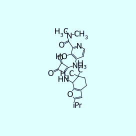 CC(C)c1cc2c(o1)C(Nc1c(Nc3ccnc(C(=O)N(C)C)c3O)c(=O)c1=O)C(C)(C)CC2